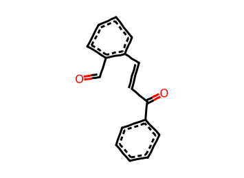 O=Cc1ccccc1/C=C/C(=O)c1ccccc1